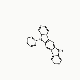 C1=CC2c3cc4[nH]c5ccccc5c4cc3N(c3ccccc3)C2C=C1